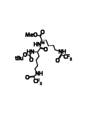 COC(=O)[C@H](CCCCNC(=O)C(F)(F)F)NC(=O)C(CCCCNC(=O)C(F)(F)F)NC(=O)OC(C)(C)C